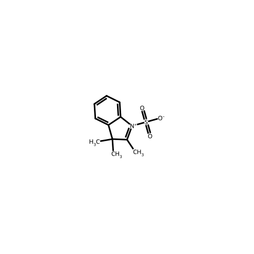 CC1=[N+](S(=O)(=O)[O-])c2ccccc2C1(C)C